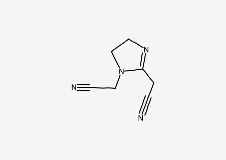 N#CCC1=NCCN1CC#N